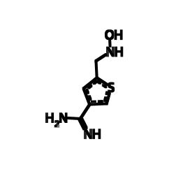 N=C(N)c1csc(CNO)c1